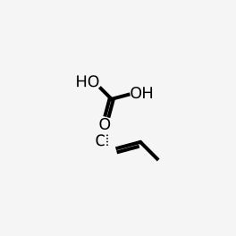 C=CC.O=C(O)O.[C]